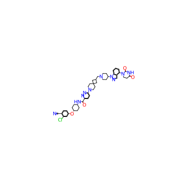 N#Cc1ccc(O[C@H]2CC[C@H](NC(=O)c3ccc(N4CCC5(CC4)CC(CN4CCC(n6ncc7c(N8CCC(=O)NC8=O)cccc76)CC4)C5)nn3)CC2)cc1Cl